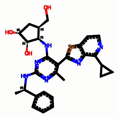 Cc1nc(N[C@H](C)c2ccccc2)nc(N[C@@H]2[C@H](CO)C[C@@H](O)[C@H]2O)c1-c1nc2c(C3CC3)nccc2s1